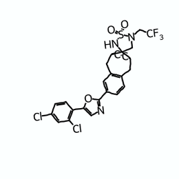 O=S1(=O)NC2(CN1CC(F)(F)F)C1CCC2Cc2cc(-c3ncc(-c4ccc(Cl)cc4Cl)o3)ccc2C1